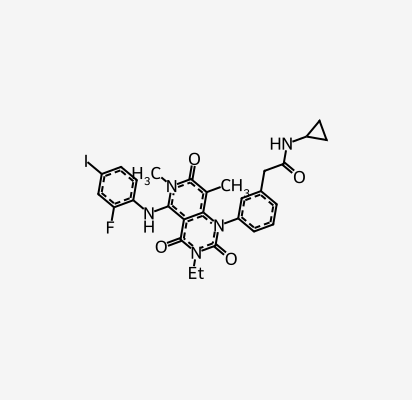 CCn1c(=O)c2c(Nc3ccc(I)cc3F)n(C)c(=O)c(C)c2n(-c2cccc(CC(=O)NC3CC3)c2)c1=O